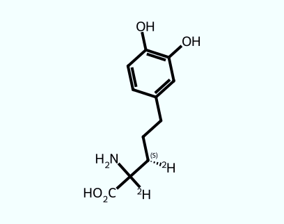 [2H][C@@H](CCc1ccc(O)c(O)c1)C([2H])(N)C(=O)O